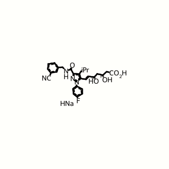 CC(C)c1c(C(=O)NCc2cccc(C#N)c2)nn(-c2ccc(F)cc2)c1C=C[C@H](O)C[C@@H](O)CC(=O)O.[NaH]